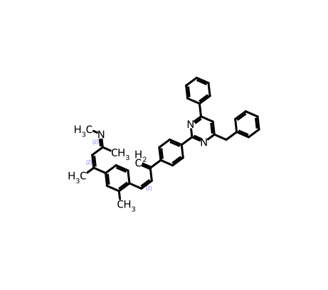 C=C(/C=C\c1ccc(/C(C)=C\C(C)=N/C)cc1C)c1ccc(-c2nc(Cc3ccccc3)cc(-c3ccccc3)n2)cc1